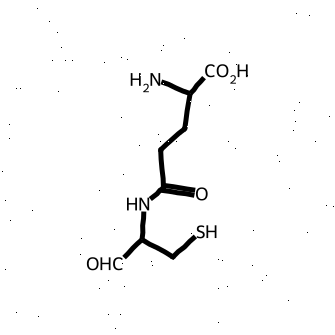 NC(CCC(=O)NC(C=O)CS)C(=O)O